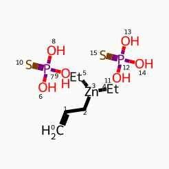 C=C[CH2][Zn]([CH2]C)[CH2]C.OP(O)(O)=S.OP(O)(O)=S